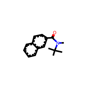 CN(C(=O)c1ccc2ccccc2c1)C(C)(C)C